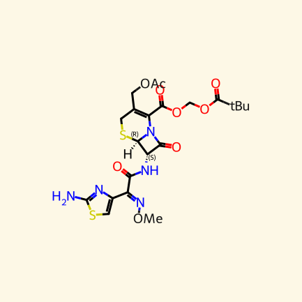 CON=C(C(=O)N[C@H]1C(=O)N2C(C(=O)OCOC(=O)C(C)(C)C)=C(COC(C)=O)CS[C@H]12)c1csc(N)n1